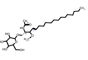 CCCCCCCCCCCCC/C=C/C(OC)[C@H](COC1OC(CO)C(O)C(O)C1O)NC(C)=O